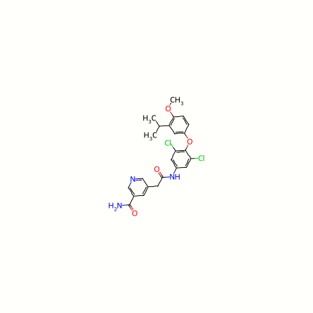 COc1ccc(Oc2c(Cl)cc(NC(=O)Cc3cncc(C(N)=O)c3)cc2Cl)cc1C(C)C